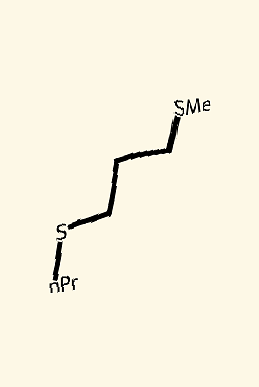 [CH2]CCSCCCS[CH2]